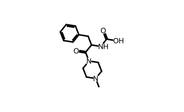 CN1CCN(C(=O)C(Cc2ccccc2)NC(=O)O)CC1